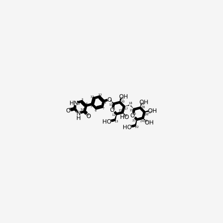 O=c1[nH]cc(-c2ccc(O[C@H]3O[C@H](CO)[C@@H](O)[C@@H](C[C@H]4O[C@H](CO)[C@@H](O)[C@H](O)[C@H]4O)[C@@H]3O)cc2)c(=O)[nH]1